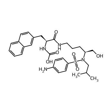 CC(C)CN([C@H](CO)CCCNC(=O)[C@H](Cc1ccc2ccccc2c1)NC(=O)O)S(=O)(=O)c1ccc(N)cc1